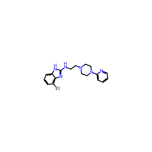 CCc1cccc2[nH]c(NCCN3CCN(c4ccccn4)CC3)nc12